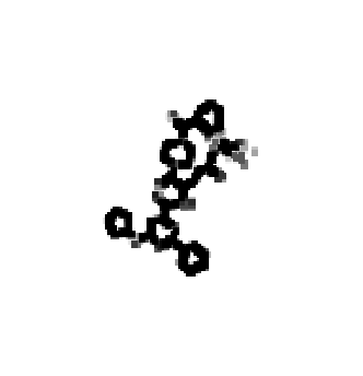 CC(C)(C)OC(=O)CCC(NC(=O)c1cc(OC2CCCC2)nc(-c2ccccc2)n1)C(=O)N1CCN(C(=O)c2ccccc2)CC1